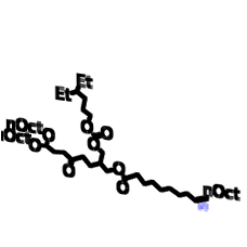 CCCCCCCC/C=C\CCCCCCCC(=O)OCC(CCC(=O)CCC(OCCCCCCCC)OCCCCCCCC)COC(=O)OCCCC(CC)CC